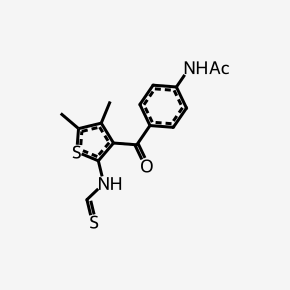 CC(=O)Nc1ccc(C(=O)c2c(NC=S)sc(C)c2C)cc1